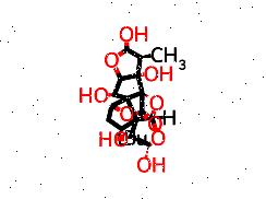 C[C@@H]1C(O)OC2[C@H](O)C34C5C[C@@H](C(C)(C)C)C36[C@@H](O[C@H](O)[C@@H]6O)O[C@@]4(C(=O)O5)[C@]21O